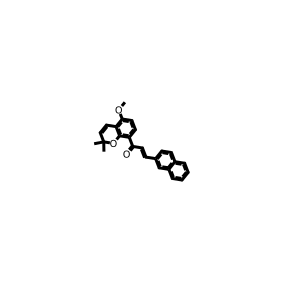 COc1ccc(C(=O)C=Cc2ccc3ccccc3c2)c2c1C=CC(C)(C)O2